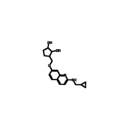 OC1CCC(COc2ccc3ccc(NCC4CC4)nc3c2)C1O